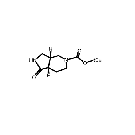 CC(C)(C)OC(=O)N1CC[C@@H]2C(=O)NC[C@@H]2C1